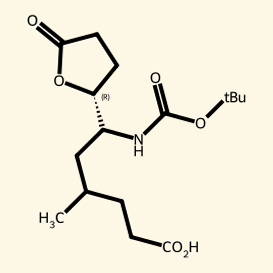 CC(CCC(=O)O)CC(NC(=O)OC(C)(C)C)[C@H]1CCC(=O)O1